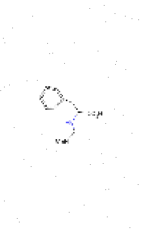 CNCNC(Cc1ccccc1)C(=O)O